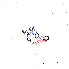 COC[C@@H]1C[C@H](N(C)C(C)C)CC[C@@H]1N(Cc1ccccc1)C(=O)O